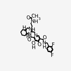 CC(=O)NCCN1C[C@@H]2CCCC[C@@H]2N2C(=O)c3c(O)c(=O)c(C(=O)NCc4ccc(F)cc4F)cn3C[C@@H]12